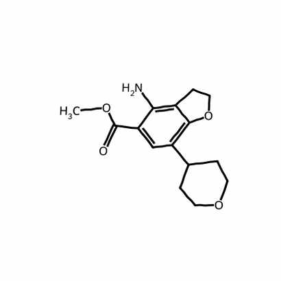 COC(=O)c1cc(C2CCOCC2)c2c(c1N)CCO2